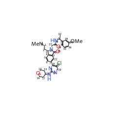 CNCCC1c2ccc(-c3nc(NC4CCOCC4)ncc3Cl)cc2C(=O)N1CC(=O)NC(C)c1cccc(OC)c1